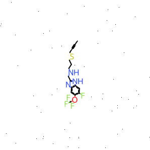 CC#CCSCCCNCc1nc2cc(OC(F)(F)F)c(F)cc2[nH]1